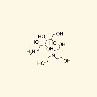 NCC(O)C(O)C(O)C(O)CO.OCCN(CCO)CCO